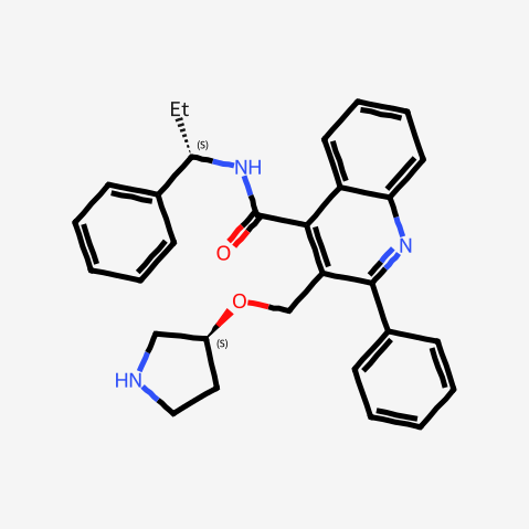 CC[C@H](NC(=O)c1c(CO[C@H]2CCNC2)c(-c2ccccc2)nc2ccccc12)c1ccccc1